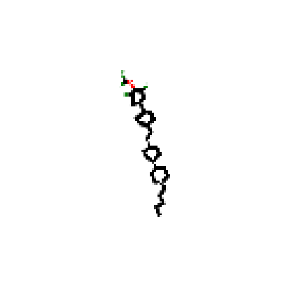 CCCCC[SiH]1CCC([C@H]2CC[C@H](CCc3ccc(-c4cc(F)c(OC(F)F)c(F)c4)cc3)CC2)CC1